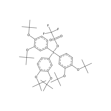 CC(C)(C)Oc1ccc(S(OS(=O)(=O)C(F)(F)F)(c2ccc(OC(C)(C)C)c(OC(C)(C)C)c2)c2ccc(OC(C)(C)C)c(OC(C)(C)C)c2)cc1OC(C)(C)C